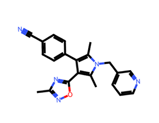 Cc1noc(-c2c(-c3ccc(C#N)cc3)c(C)n(Cc3cccnc3)c2C)n1